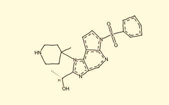 C[C@@H](O)c1nc2cnc3c(ccn3S(=O)(=O)c3ccccc3)c2n1C1(C)CCNCC1